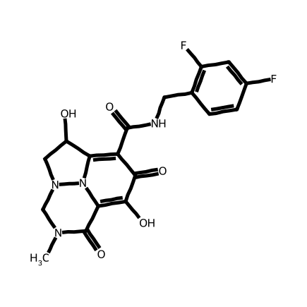 CN1CN2CC(O)c3c(C(=O)NCc4ccc(F)cc4F)c(=O)c(O)c(n32)C1=O